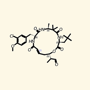 COc1ccc(C[C@H]2NC(=O)/C=C/C[C@@H](C(C)C=O)OC(=O)[C@H](CC(C)(C)C)NC(=O)C(C)(C)[C@H](C)NC2=O)cc1Cl